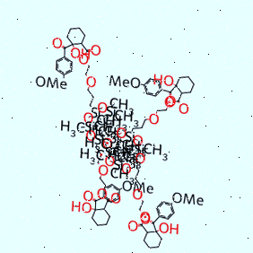 COc1ccc(C(=O)C2(O)CCCCC2C(=O)OCCOCCC[Si](C)(O[Si](C)(C)C)O[Si](C)(C)O[Si](C)(CCCOCCOC(=O)C2CCCCC2(O)C(=O)c2ccc(OC)cc2)O[Si](C)(C)O[Si](C)(CCCOCCOC(=O)C2CCCCC2(O)C(=O)c2ccc(OC)cc2)O[Si](C)(C)O[Si](C)(CCCOCCOC(=O)C2CCCCC2(O)C(=O)c2ccc(OC)cc2)O[Si](C)(C)O[Si](C)(C)C)cc1